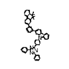 CC1(C)c2ccccc2-c2ccc(-c3cccc(-c4ccc5c6ccccc6n(-c6ccc(-c7nc(-c8ccccc8)nc(-c8ccccc8)n7)cc6)c5c4)c3)cc2C1(C)C